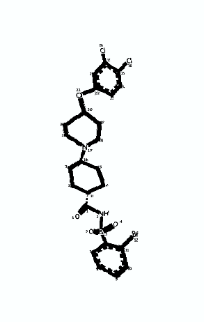 O=C(NS(=O)(=O)c1ccccc1Br)[C@H]1CC[C@H](N2CCC(Oc3ccc(Cl)c(Cl)c3)CC2)CC1